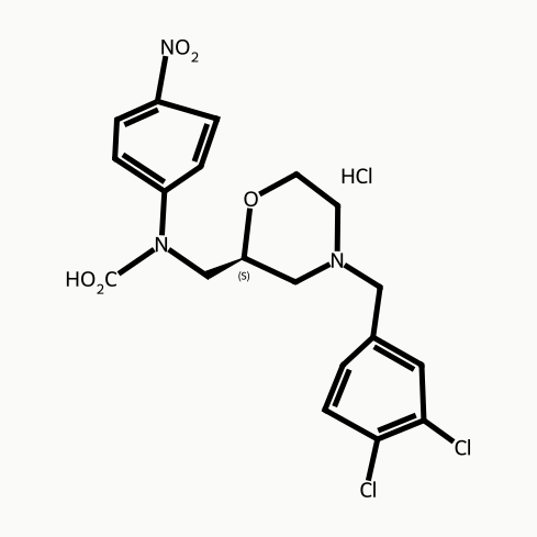 Cl.O=C(O)N(C[C@@H]1CN(Cc2ccc(Cl)c(Cl)c2)CCO1)c1ccc([N+](=O)[O-])cc1